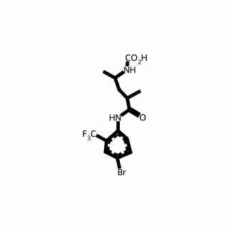 CC(CC(C)C(=O)Nc1ccc(Br)cc1C(F)(F)F)NC(=O)O